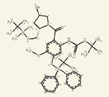 COc1cc(C(=O)N2C[C@H](O)C[C@H]2CO[Si](C)(C)C(C)(C)C)c(NC(=O)OC(C)(C)C)cc1O[Si](c1ccccc1)(c1ccccc1)C(C)(C)C